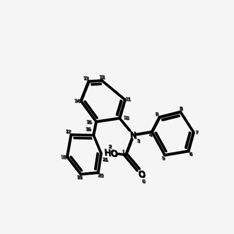 O=C(O)N(c1ccccc1)c1ccccc1-c1ccccc1